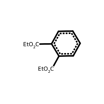 [CH2]COC(=O)c1ccccc1C(=O)OC[CH2]